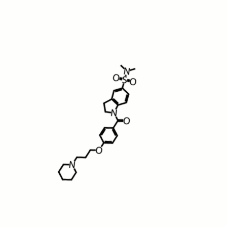 CN(C)S(=O)(=O)c1ccc2c(c1)CCN2C(=O)c1ccc(OCCCN2CCCCC2)cc1